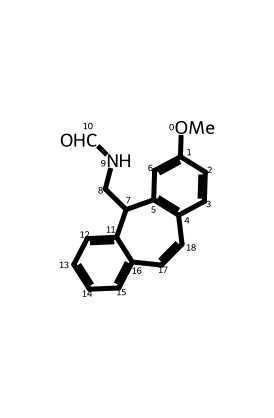 COc1ccc2c(c1)C(CNC=O)c1ccccc1C=C2